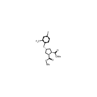 COC(=O)[C@@H]1C[C@@H](Sc2ccc(F)cc2C(F)(F)F)CN1C(=O)OC(C)(C)C